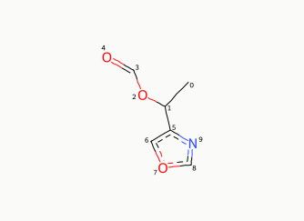 CC(OC=O)c1cocn1